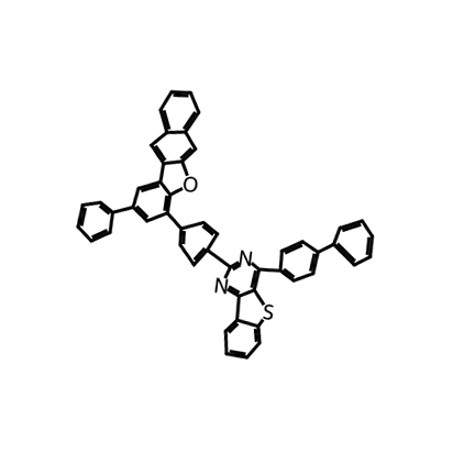 c1ccc(-c2ccc(-c3nc(-c4ccc(-c5cc(-c6ccccc6)cc6c5oc5cc7ccccc7cc56)cc4)nc4c3sc3ccccc34)cc2)cc1